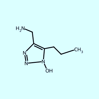 CCCc1c(CN)nnn1O